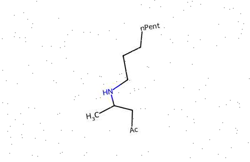 CCCCCCCCNC(C)CC(C)=O